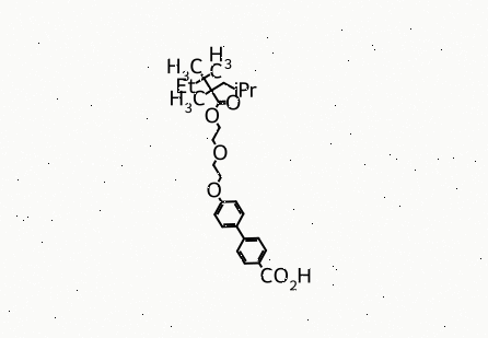 CCC(C)(C)C(C)(CC(C)C)C(=O)OCCOCCOc1ccc(-c2ccc(C(=O)O)cc2)cc1